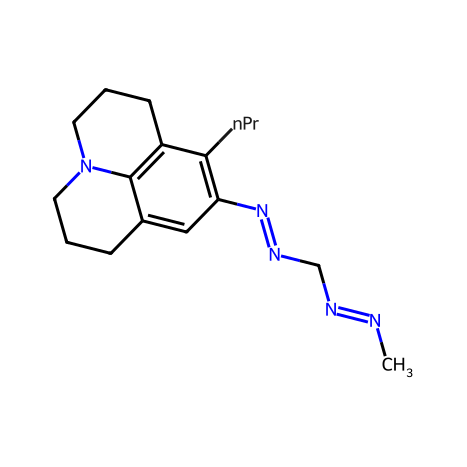 CCCc1c(/N=N/C/N=N/C)cc2c3c1CCCN3CCC2